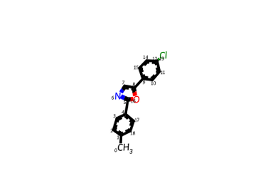 Cc1ccc(-c2ncc(-c3ccc(Cl)cc3)o2)cc1